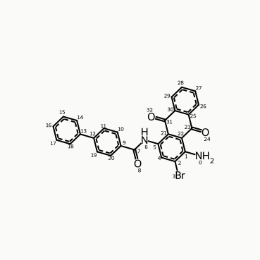 Nc1c(Br)cc(NC(=O)c2ccc(-c3ccccc3)cc2)c2c1C(=O)c1ccccc1C2=O